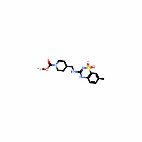 Cc1ccc2c(c1)S(=O)(=O)N=C(NCC1CCN(C(=O)OC(C)(C)C)CC1)N2